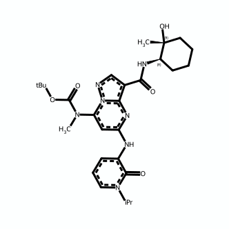 CC(C)n1cccc(Nc2cc(N(C)C(=O)OC(C)(C)C)n3ncc(C(=O)N[C@@H]4CCCC[C@@]4(C)O)c3n2)c1=O